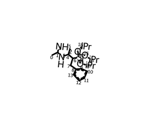 CC(N)NC(C)C(Cc1ccccc1)[Si](OC(C)C)(OC(C)C)OC(C)C